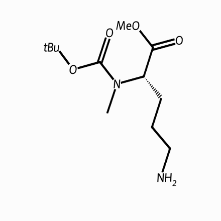 COC(=O)[C@H](CCCN)N(C)C(=O)OC(C)(C)C